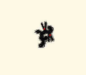 CCCCCCCCC1(CCCCCCCC)c2cc(C(Cc3ccc(C)cc3)Cc3ccc4c(c3)C(C)(C)c3cc(-c5ccc6oc7ccccc7c6c5)c5oc6ccccc6c5c3-4)ccc2-c2cc3c(cc21)-c1c(ccc2oc4ccccc4c12)C3(CCCCCCCC)CCCCCCCC